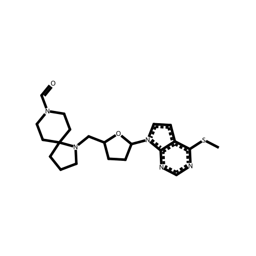 CSc1ncnc2c1ccn2C1CCC(CN2CCCC23CCN(C=O)CC3)O1